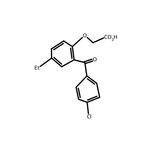 CCc1ccc(OCC(=O)O)c(C(=O)c2ccc(Cl)cc2)c1